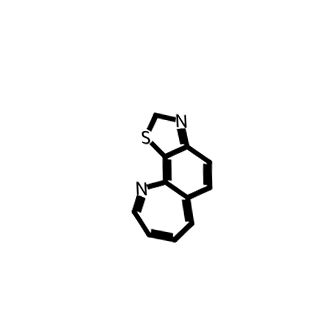 C1=CC=c2ccc3c(c2N=C1)SCN=3